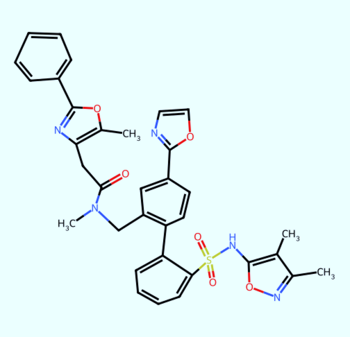 Cc1noc(NS(=O)(=O)c2ccccc2-c2ccc(-c3ncco3)cc2CN(C)C(=O)Cc2nc(-c3ccccc3)oc2C)c1C